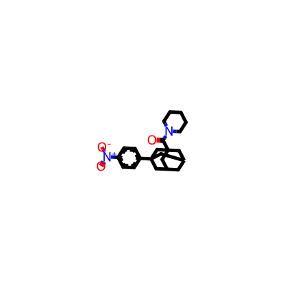 O=C(N1CCCCC1)C12CC3CC(C1)CC(c1ccc([N+](=O)[O-])cc1)(C3)C2